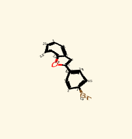 Brc1ccc(-c2cc3ccccc3o2)cc1